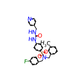 Cc1cccc(CN(Cc2ccc(F)cc2)S(=O)(=O)c2ccc(NC(=O)NCc3ccncc3)cc2)c1